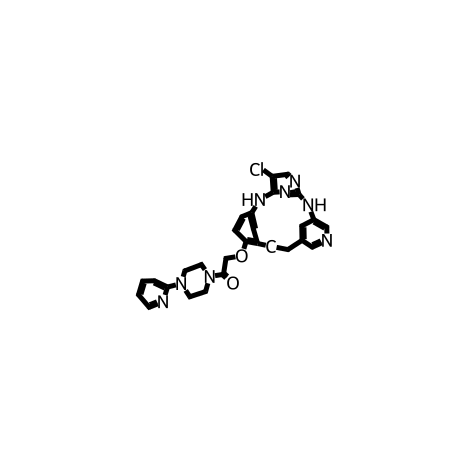 O=C(COc1ccc2cc1CCc1cncc(c1)Nc1ncc(Cl)c(n1)N2)N1CCN(c2ccccn2)CC1